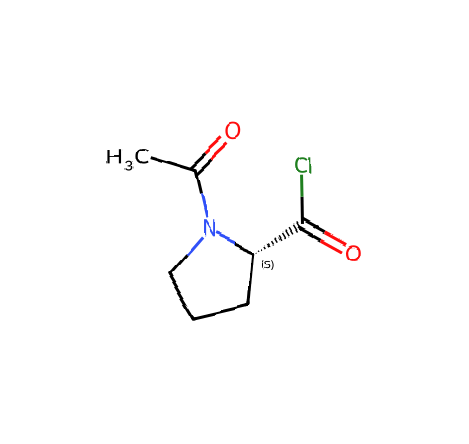 CC(=O)N1CCC[C@H]1C(=O)Cl